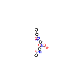 Cc1ccc(-c2ccc(-c3nc(-c4ccc(CN(CC(=O)O)C(=O)c5ccc(NC(=O)c6ccccc6C)cc5)cc4)no3)cc2)cc1